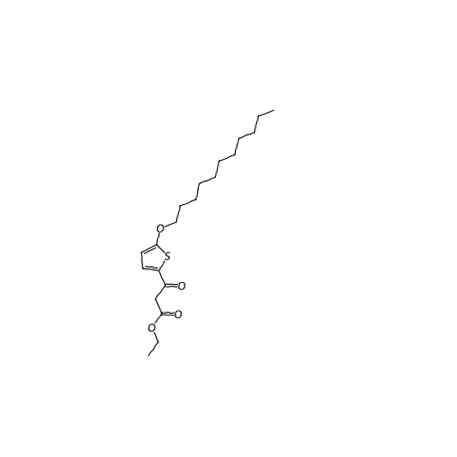 CCCCCCCCCCCOc1ccc(C(=O)CC(=O)OCC)s1